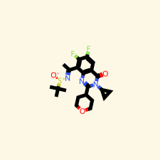 CC(=N[S@+]([O-])C(C)(C)C)c1c(F)c(F)cc2c(=O)n(C3CC3)c(C3CCOCC3)nc12